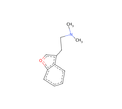 CN(C)CCc1coc2ccccc12